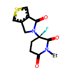 CCN1C(=O)CC[C@](F)(N2Cc3cscc3C2=O)C1=O